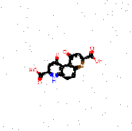 O=C(O)c1cc(=O)c2c(ccc3sc(C(=O)O)cc(=O)c32)[nH]1